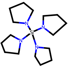 C1CCN([Si](N2CCCC2)(N2CCCC2)N2CCCC2)C1